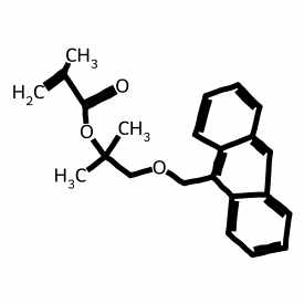 C=C(C)C(=O)OC(C)(C)COCc1c2ccccc2cc2ccccc12